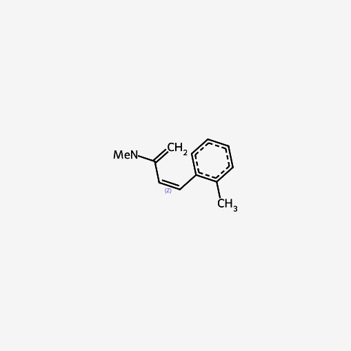 C=C(/C=C\c1ccccc1C)NC